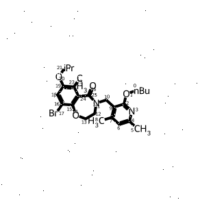 CCCCOc1nc(C)cc(C)c1CN1CCOc2c(Br)cc(OC(C)C)c(C)c2C1=O